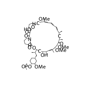 CO[C@H]1C[C@@H]2CC[C@@H](C)[C@@](O)(O2)C(=O)C(=O)N2CCCC[C@H]2C(=O)O[C@H]([C@H](C)C[C@@H]2CC[C@@H](OP(C)(C)=O)[C@H](OC)C2)CC(O)[C@H](C)/C=C(\C)[C@@H](OC)[C@@H](OC)C(=O)[C@H](C)C[C@H](C)/C=C/C=C/C=C/1C